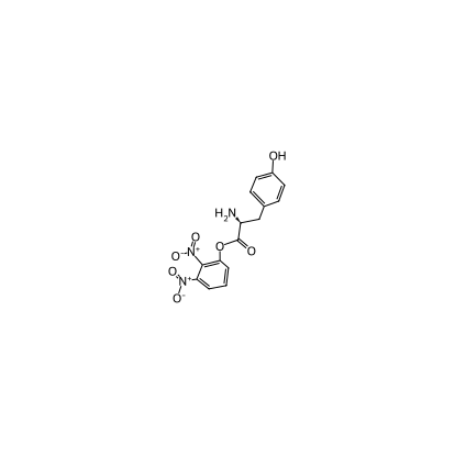 N[C@@H](Cc1ccc(O)cc1)C(=O)Oc1cccc([N+](=O)[O-])c1[N+](=O)[O-]